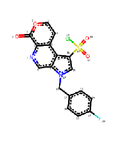 O=c1occc2c1ncc1c2c(S(=O)(=O)Cl)cn1Cc1ccc(F)cc1